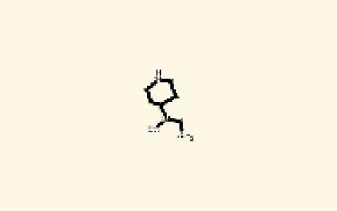 CCN(CC(F)(F)F)C1CCNCC1